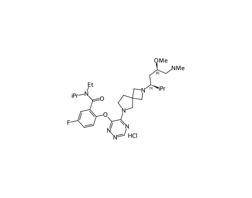 CCN(C(=O)c1cc(F)ccc1Oc1nncnc1N1CCC2(C1)CN([C@@H](C[C@H](CNC)OC)C(C)C)C2)C(C)C.Cl